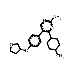 CC1CCC(c2nc(N)ncc2-c2ccc(O[C@H]3CCOC3)cc2)CC1